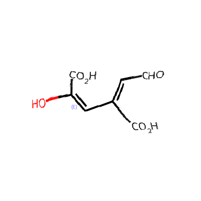 O=CC=C(/C=C(/O)C(=O)O)C(=O)O